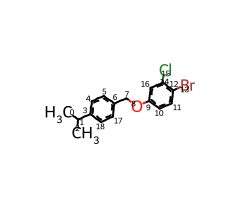 CC(C)c1ccc(COc2ccc(Br)c(Cl)c2)cc1